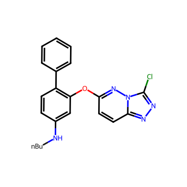 CCCCNc1ccc(-c2ccccc2)c(Oc2ccc3nnc(Cl)n3n2)c1